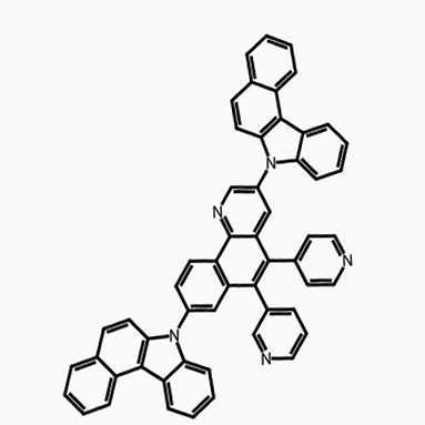 c1cncc(-c2c(-c3ccncc3)c3cc(-n4c5ccccc5c5c6ccccc6ccc54)cnc3c3ccc(-n4c5ccccc5c5c6ccccc6ccc54)cc23)c1